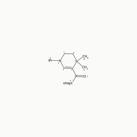 CCCCCCCC(=O)C1=CN(C(C)C)CCC1(C)C